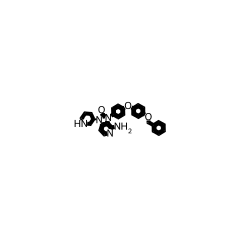 Nc1nccc2c1n(-c1ccc(Oc3ccc(OCc4ccccc4)cc3)cc1)c(=O)n2[C@@H]1CCCNC1